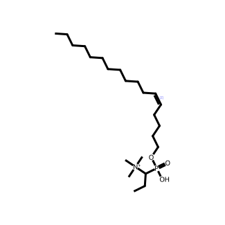 CCCCCCCCCCC/C=C\CCCCOP(=O)(O)C(CC)[N+](C)(C)C